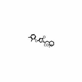 Cc1cccc(OC2=CC(=O)N([C@@H](CC3CCCCC3)C(=O)O)C2)c1C